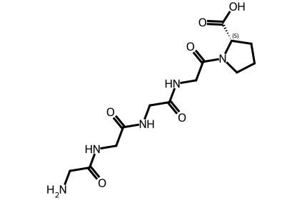 NCC(=O)NCC(=O)NCC(=O)NCC(=O)N1CCC[C@H]1C(=O)O